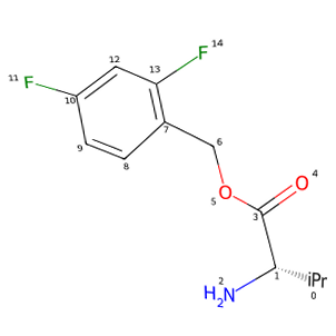 CC(C)[C@H](N)C(=O)OCc1ccc(F)cc1F